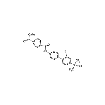 COC(=O)c1ccc(C(=O)Nc2ccc(-c3ccc(C(O)(C(F)(F)F)C(F)(F)F)cc3F)cc2)cc1